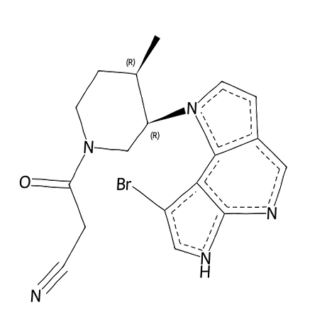 C[C@@H]1CCN(C(=O)CC#N)C[C@@H]1n1ccc2cnc3[nH]cc(Br)c3c21